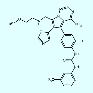 CCCOCCNCc1c(-c2cnco2)c(-c2ccc(NC(=O)Nc3cc(C(F)(F)F)ccn3)c(F)c2)c2c(N)ncnn12